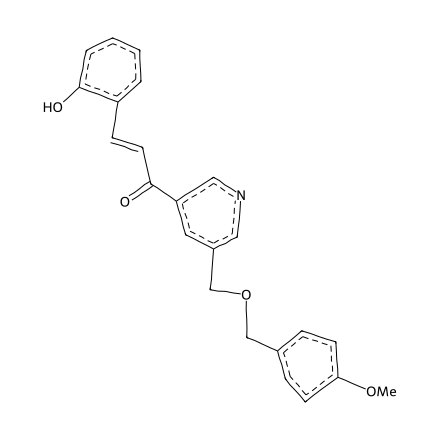 COc1ccc(COCc2cncc(C(=O)C=Cc3ccccc3O)c2)cc1